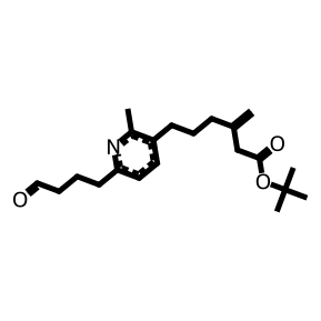 C=C(CCCc1ccc(CCCC=O)nc1C)CC(=O)OC(C)(C)C